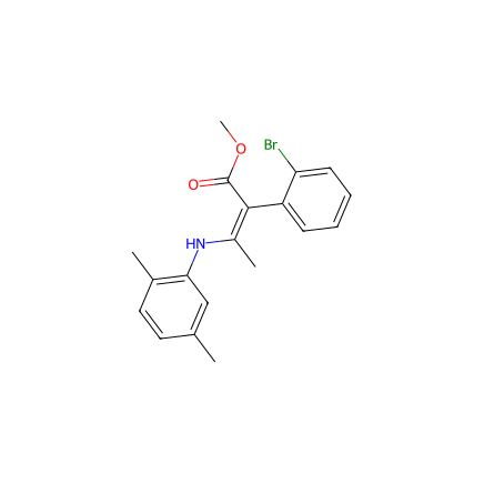 COC(=O)C(=C(C)Nc1cc(C)ccc1C)c1ccccc1Br